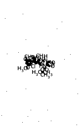 COc1cc(OC)c(Cl)c(-c2cc3cnc(NC4CS(=O)(=O)CC4NC(=O)OC(C)(C)C)nc3n(C)c2=O)c1Cl